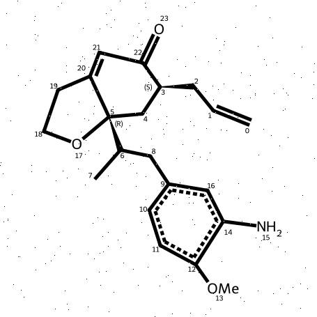 C=CC[C@H]1C[C@]2(C(C)Cc3ccc(OC)c(N)c3)OCCC2=CC1=O